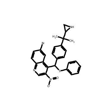 CC(C)(c1ccc(C(Sc2ccccc2)c2c([N+](=O)[O-])cnc3ccc(Br)cc23)cc1)C1CN1